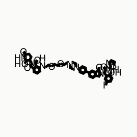 O=C1CCC(N2C(=O)c3cccc(NCCOCCOCCN4CCN(c5ccc(-c6ccc7c(c6)C(=O)N(C(C(=O)Nc6nccs6)c6cc(F)ccc6O)C7)cc5)CC4)c3C2=O)C(O)N1